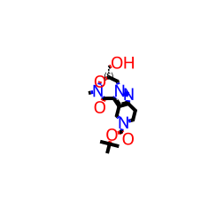 CN1O[C@H](CO)Cn2nc3c(c2C1=O)CN(C(=O)OC(C)(C)C)CC3